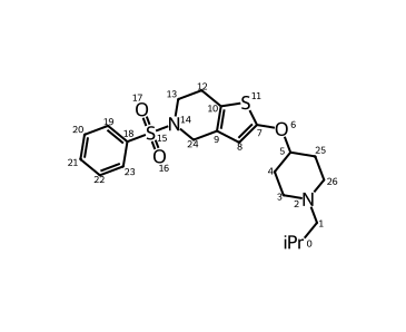 CC(C)CN1CCC(Oc2cc3c(s2)CCN(S(=O)(=O)c2ccccc2)C3)CC1